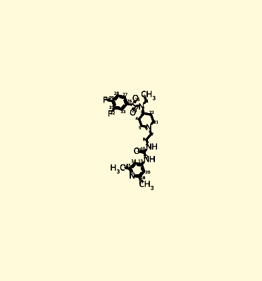 CCN(C1CCN(CCNC(=O)Nc2cc(C)nc(C)c2)CC1)S(=O)(=O)c1ccc(F)c(F)c1